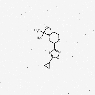 CC(C)(C)N1CCOC(c2noc(C3CC3)n2)C1